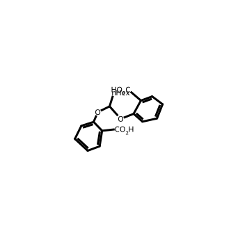 CCCCCCC(Oc1ccccc1C(=O)O)Oc1ccccc1C(=O)O